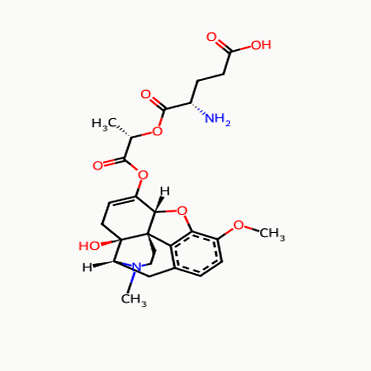 COc1ccc2c3c1O[C@H]1C(OC(=O)[C@H](C)OC(=O)[C@@H](N)CCC(=O)O)=CC[C@@]4(O)[C@@H](C2)N(C)CC[C@]314